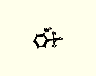 O=P([O-])([O-])c1ccccc1.[Mg+2]